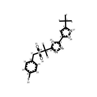 CC(C)(C)c1cc(-c2nnc(C(C)(C)S(=O)(=O)Cc3ccc(F)cc3)o2)on1